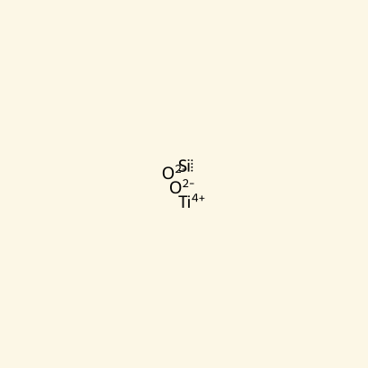 [O-2].[O-2].[Si].[Ti+4]